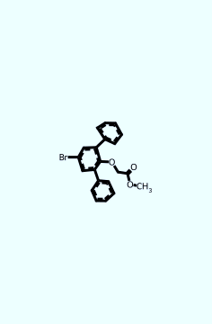 COC(=O)COc1c(-c2ccccc2)cc(Br)cc1-c1ccccc1